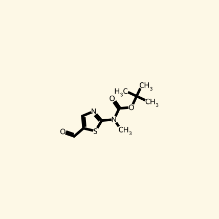 CN(C(=O)OC(C)(C)C)c1ncc(C=O)s1